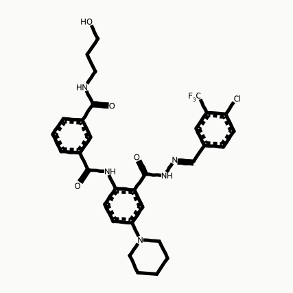 O=C(NCCCO)c1cccc(C(=O)Nc2ccc(N3CCCCC3)cc2C(=O)NN=Cc2ccc(Cl)c(C(F)(F)F)c2)c1